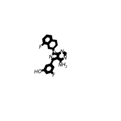 Nc1ncnc2c1c(-c1cc(O)cc(F)c1)nn2C1CCc2cccc(F)c2C1